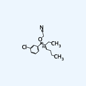 CCCC[C@H](CC)[C@@H](OCC#N)c1cccc(Cl)c1